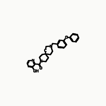 O=C(c1ncccc1O)N1CCC2(CCN(Cc3cccc(Oc4ccccc4)c3)CC2)CC1